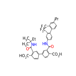 CCC(C)(C)NC(=O)c1cc(-c2ccc(C(=O)O)c(C(=O)Nc3ccc(-c4ccc(C(C)C)cc4C(F)(F)F)c(C(F)(F)F)c3)c2)ccc1C(=O)O